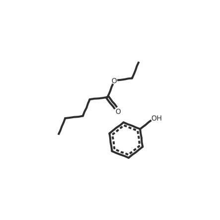 CCCCC(=O)OCC.Oc1ccccc1